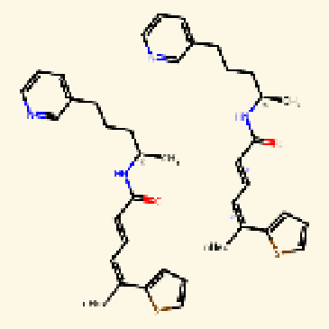 CCCCCC/C(=C/C=C/C(=O)N[C@H](C)CCCc1cccnc1)c1cccs1.CCCCCCC(=CC=CC(=O)N[C@H](C)CCCc1cccnc1)c1cccs1